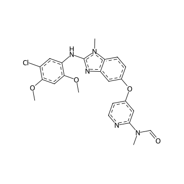 COc1cc(OC)c(Nc2nc3cc(Oc4ccnc(N(C)C=O)c4)ccc3n2C)cc1Cl